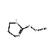 CCCONC1=NCCCN1